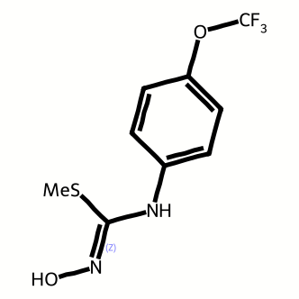 CS/C(=N\O)Nc1ccc(OC(F)(F)F)cc1